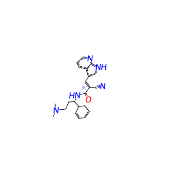 CN(C)CCC(NC(=O)/C(C#N)=C/c1c[nH]c2ncccc12)C1C=CC=CC1